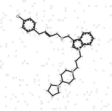 Clc1ccc(C/C=C/COCc2cn(CCCN3CCC(N4CCCC4)CC3)c3ccccc23)cc1